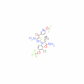 CC(C(N)=O)N(c1ccc(OC(F)(F)F)c(Cl)c1)c1nc(N)c(C(=O)c2ccc(OC(F)F)nc2)s1